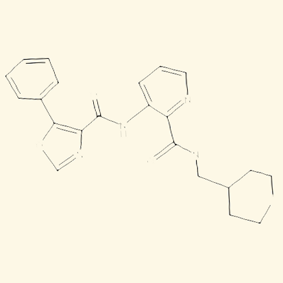 O=C(NCC1CCOCC1)c1ncccc1NC(=O)c1ncoc1-c1ccccc1